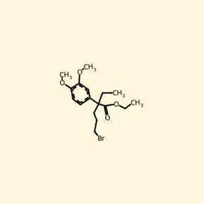 CCOC(=O)C(CC)(CCCBr)c1ccc(OC)c(OC)c1